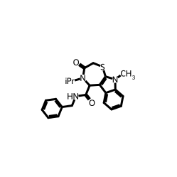 CC(C)N1C(=O)CSc2c(c3ccccc3n2C)C1C(=O)NCc1ccccc1